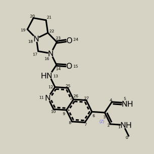 CN/C=C(\C=N)c1ccc2cnc(NC(=O)N3CN4CCCC4C3=O)cc2c1